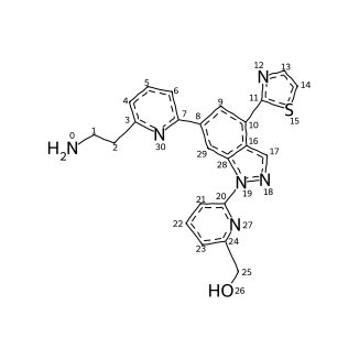 NCCc1cccc(-c2cc(-c3nccs3)c3cnn(-c4cccc(CO)n4)c3c2)n1